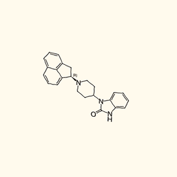 O=c1[nH]c2ccccc2n1C1CCN([C@@H]2Cc3cccc4cccc2c34)CC1